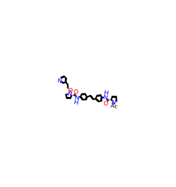 CC(=O)N1CC=C[C@H]1C(=O)Nc1ccc(/C=C/c2ccc(NC(=O)[C@@H]3C=CCN3OCCc3cccnc3)cc2)cc1